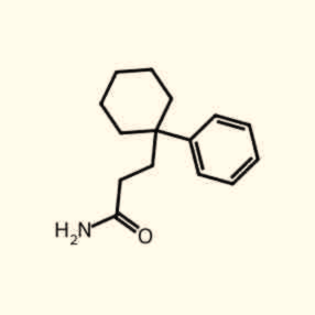 NC(=O)CCC1(c2ccccc2)CCCCC1